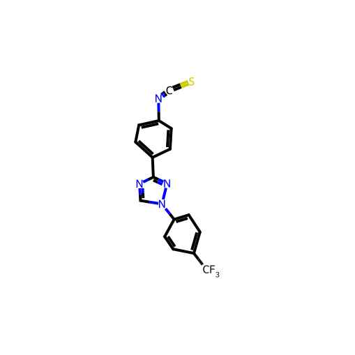 FC(F)(F)c1ccc(-n2cnc(-c3ccc(N=C=S)cc3)n2)cc1